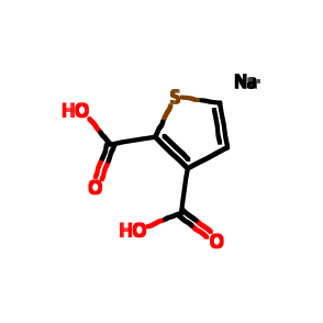 O=C(O)c1ccsc1C(=O)O.[Na]